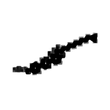 CCCCCCCCOc1ccc(-c2cnc(-c3ccc4c(c3F)C(F)(F)C(CCCCCCCCCC3CC3)O4)nc2)cc1